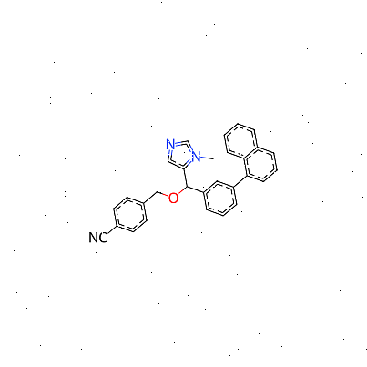 Cn1cncc1C(OCc1ccc(C#N)cc1)c1cccc(-c2cccc3ccccc23)c1